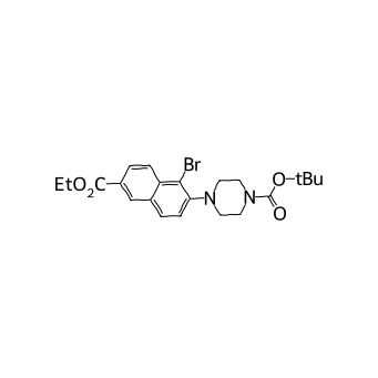 CCOC(=O)c1ccc2c(Br)c(N3CCN(C(=O)OC(C)(C)C)CC3)ccc2c1